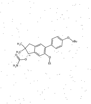 CCCCOc1ccc(-c2cc3c(cc2OCC)[C@H](OC(N)=O)C(C)(C)C3)cc1